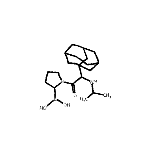 CC(C)NC(C(=O)N1CCCC1B(O)O)C12CC3CC(CC(C3)C1)C2